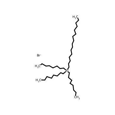 CCCCCCCCCCCCCCCC[P+](CCCCCCCC)(CCCCCCCC)CCCCCCCC.[Br-]